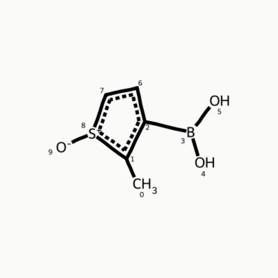 Cc1c(B(O)O)cc[s+]1[O-]